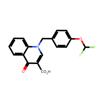 O=C(O)c1cn(Cc2ccc(OC(F)F)cc2)c2ccccc2c1=O